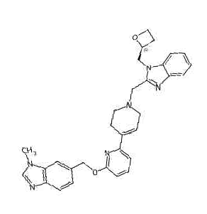 Cn1cnc2ccc(COc3cccc(C4=CCN(Cc5nc6ccccc6n5C[C@@H]5CCO5)CC4)n3)cc21